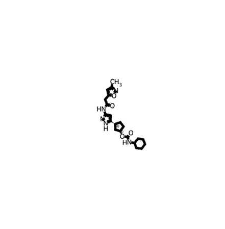 Cc1cc(CC(=O)Nc2cc([C@@H]3CC[C@@H](OC(=O)NC4CCCCC4)C3)[nH]n2)on1